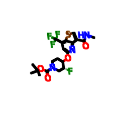 CNC(=O)c1csc2c(C(F)(F)F)cc(O[C@@H]3CCN(C(=O)OC(C)(C)C)C[C@H]3F)nc12